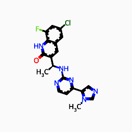 C[C@H](Nc1nccc(-c2cncn2C)n1)c1cc2cc(Cl)cc(F)c2[nH]c1=O